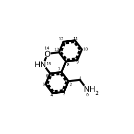 NCc1cccc2c1-c1ccccc1ON2